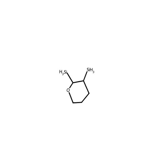 [SiH3]C1CCCOC1[SiH3]